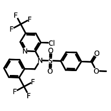 COC(=O)c1ccc(S(=O)(=O)N(Cc2ccccc2C(F)(F)F)c2ncc(C(F)(F)F)cc2Cl)cc1